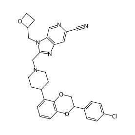 N#Cc1cc2nc(CN3CCC(c4cccc5c4OCC(c4ccc(Cl)cc4)O5)CC3)n(CC3CCO3)c2cn1